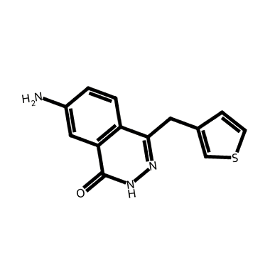 Nc1ccc2c(Cc3ccsc3)n[nH]c(=O)c2c1